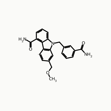 COCc1c[c]c2c3c(C(N)=O)cccc3n(Cc3cccc(C(N)=O)c3)c2c1